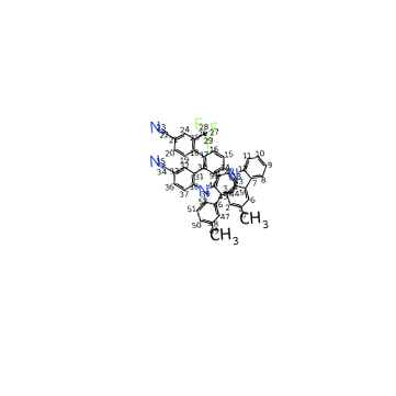 Cc1ccc2c(c1)c1ccccc1n2-c1ccc(-c2ccc(C#N)cc2C(F)(F)F)c(-c2cc(C#N)ccc2-n2c3ccccc3c3cc(C)ccc32)c1